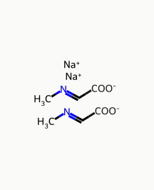 CN=CC(=O)[O-].CN=CC(=O)[O-].[Na+].[Na+]